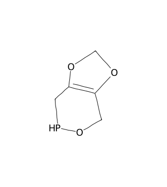 C1OC2=C(CPOC2)O1